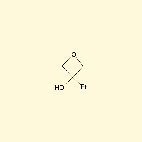 CCC1(O)COC1